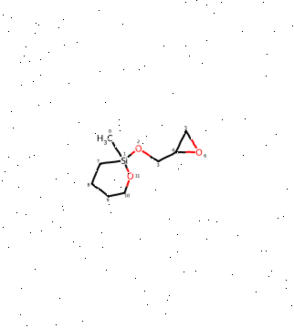 C[Si]1(OCC2CO2)CCCCO1